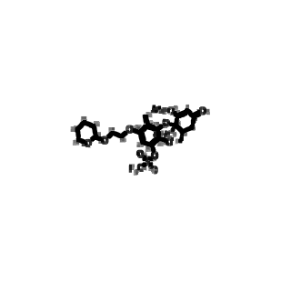 COC1=CC(=O)C[C@@H](C)[C@]1(C=O)Oc1c(C)c(OCCOC2CCCCO2)cc(OS(=O)(=O)C(F)(F)F)c1Cl